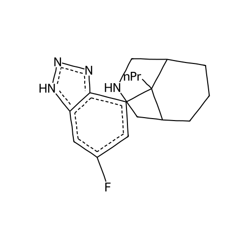 CCCC1(c2cc(F)cc3[nH]nnc23)C2CCCC1CNC2